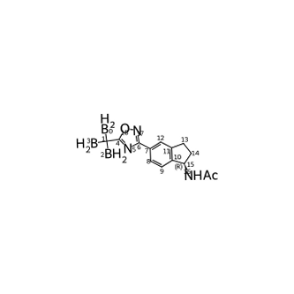 BC(B)(B)c1nc(-c2ccc3c(c2)CC[C@H]3NC(C)=O)no1